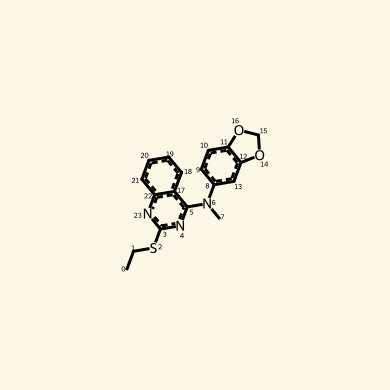 CCSc1nc(N(C)c2ccc3c(c2)OCO3)c2ccccc2n1